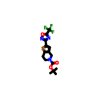 CC(C)(C)OC(=O)N1CCc2sc(-c3noc(C(F)(F)F)n3)cc2C1